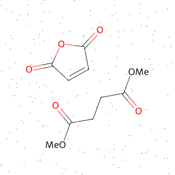 COC(=O)CCC(=O)OC.O=C1C=CC(=O)O1